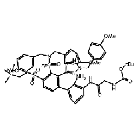 COc1ccc(CN(Cc2ccc(OC)cc2)S(=O)(=O)c2c(S(=O)(=O)CC[Si](C)(C)C)ccc(-c3cccc(NC(=O)CNC(=O)OC(C)(C)C)c3N)c2-c2nnn(Cc3ccc(OC)cc3)n2)cc1